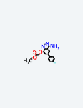 CCOC(=O)COc1cc(-c2ccc(F)cc2)cc2c(N)ncnc12